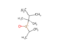 CC(C)[S+]([O-])C(C)(C)C(C)C